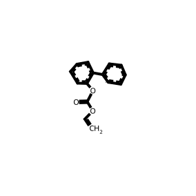 C=COC(=O)Oc1ccccc1-c1[c]cccc1